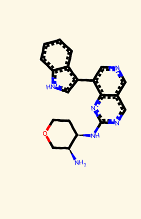 N[C@H]1COCC[C@H]1Nc1ncc2cncc(-c3c[nH]c4ccccc34)c2n1